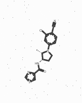 C[C@H]1[C@@H](NC(=O)c2cscn2)CCN1c1ccc(C#N)c(Cl)c1